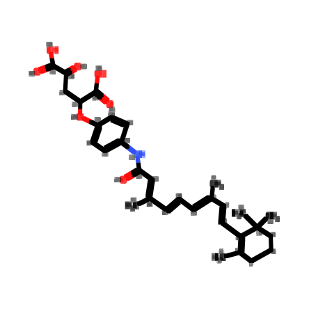 CC(C=CC1=C(C)CCCC1(C)C)=CC=CC(C)=CC(=O)Nc1ccc(OC(CC(=O)C(=O)O)C(=O)O)cc1